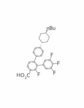 CCCC[C@H]1CC[C@H](c2ccc(-c3ccc(C(=O)O)c(F)c3-c3cc(F)c(F)c(F)c3)cc2)CC1